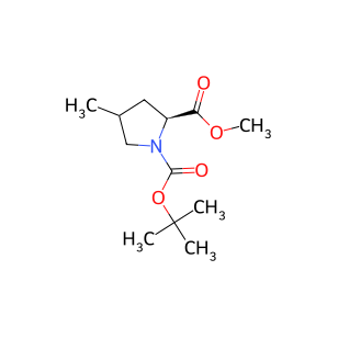 COC(=O)[C@@H]1CC(C)CN1C(=O)OC(C)(C)C